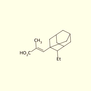 CCC1C2CC3CC(C2)CC1(/C=C(\C)C(=O)O)C3